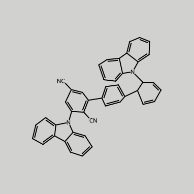 N#Cc1cc(-c2ccc(C3C=CC=CC3n3c4ccccc4c4ccccc43)cc2)c(C#N)c(-n2c3ccccc3c3ccccc32)c1